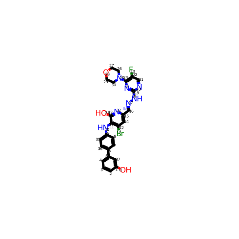 Oc1cccc(-c2ccc(Nc3c(Br)cc(/C=N/Nc4ncc(F)c(N5CCOCC5)n4)nc3O)cc2)c1